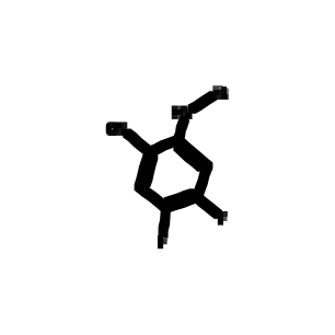 CCNc1cc(F)c(F)cc1N=O